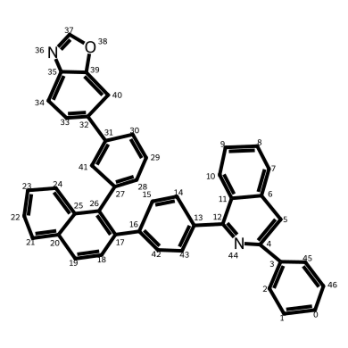 c1ccc(-c2cc3ccccc3c(-c3ccc(-c4ccc5ccccc5c4-c4cccc(-c5ccc6ncoc6c5)c4)cc3)n2)cc1